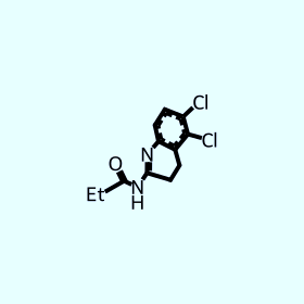 CCC(=O)NC1=Nc2ccc(Cl)c(Cl)c2CC1